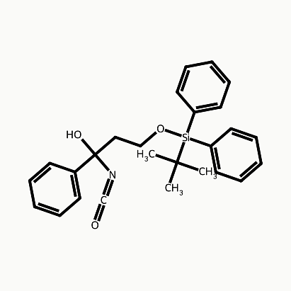 CC(C)(C)[Si](OCCC(O)(N=C=O)c1ccccc1)(c1ccccc1)c1ccccc1